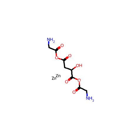 NCC(=O)OC(=O)CC(O)C(=O)OC(=O)CN.[Zn].[Zn]